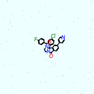 O=C(c1ccc(F)cc1)N1CCN2C(=O)c3ccc(-c4ccncc4)cc3C12c1ccc(Cl)cc1